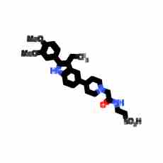 COc1ccc(-c2[nH]c3ccc(C4CCN(CC(=O)NCCS(=O)(=O)O)CC4)cc3c2CC(F)(F)F)cc1OC